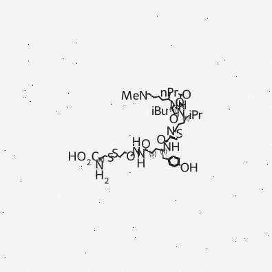 CCCC(=O)OCN(C(=O)[C@@H](NC(C)CCCCNC)C(C)CC)[C@H](CCc1nc(C(=O)N[C@@H](Cc2ccc(O)cc2)C[C@H](C)C(=O)NNOCCSSC[C@H](N)C(=O)O)cs1)C(C)C